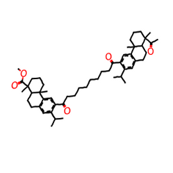 COC(=O)C1(C)CCCC2(C)c3cc(C(=O)CCCCCCCCC(=O)c4cc5c(cc4C(C)C)CCC4C(C)(C(C)=O)CCCC54C)c(C(C)C)cc3CCC12